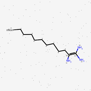 CCCCCCCCCCCCCCCCCCC(N)=C(N)N